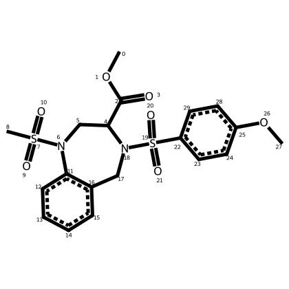 COC(=O)C1CN(S(C)(=O)=O)c2ccccc2CN1S(=O)(=O)c1ccc(OC)cc1